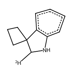 [2H]C1Nc2ccccc2C12CCC2